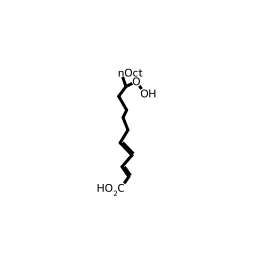 CCCCCCCCC(CCCCC=CC=CC(=O)O)OO